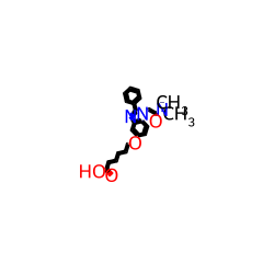 CN(C)C(=O)Cn1c(-c2ccccc2)nc2cc(OCCCCCC(=O)O)ccc21